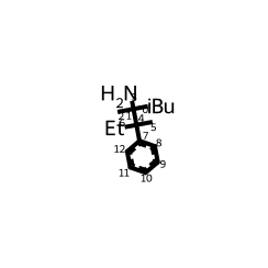 CCC(C)C(C)(N)C(C)(CC)c1ccccc1